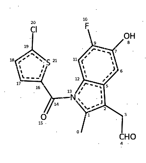 Cc1c(CC=O)c2cc(O)c(F)cc2n1C(=O)c1ccc(Cl)s1